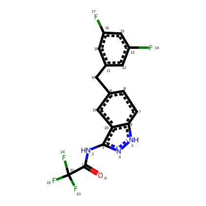 O=C(Nc1n[nH]c2ccc(Cc3cc(F)cc(F)c3)cc12)C(F)(F)F